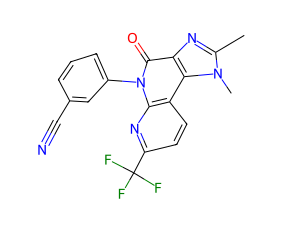 Cc1nc2c(=O)n(-c3cccc(C#N)c3)c3nc(C(F)(F)F)ccc3c2n1C